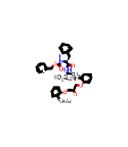 CC(=O)Nc1ccccc1OCC(=O)COc1ccccc1NC(C)=O.C[C@H](NC(=O)[C@H](Cc1ccccc1)NC(=O)OCc1ccccc1)C(=O)O